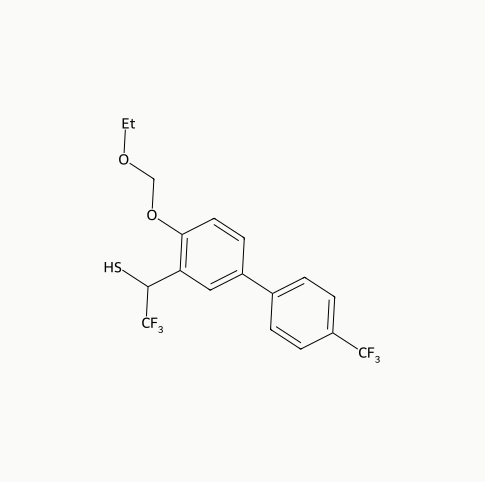 CCOCOc1ccc(-c2ccc(C(F)(F)F)cc2)cc1C(S)C(F)(F)F